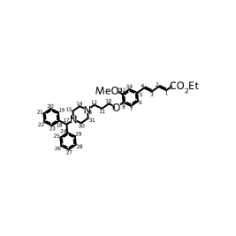 CCOC(=O)/C=C/C=C/c1ccc(OCCCN2CCN(C(c3ccccc3)c3ccccc3)CC2)c(OC)c1